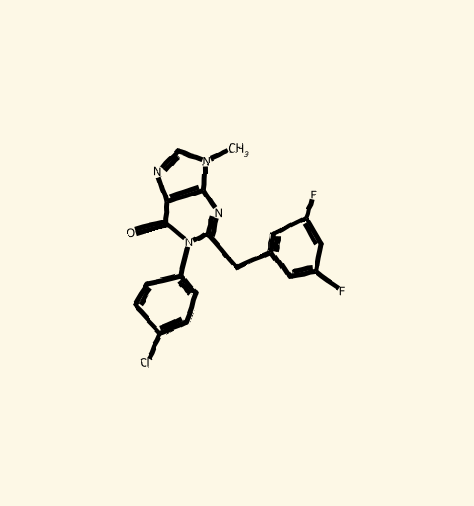 Cn1cnc2c(=O)n(-c3ccc(Cl)cc3)c(Cc3cc(F)cc(F)c3)nc21